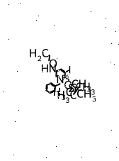 C=CCONC1C=C(I)[C@@H](CO[Si](C)(C)C(C)(C)C)N(Cc2ccccc2)C1